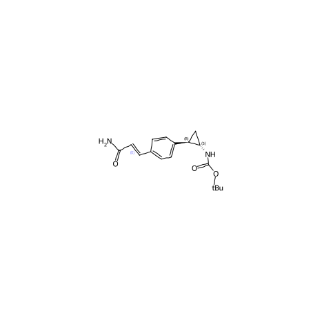 CC(C)(C)OC(=O)N[C@H]1C[C@@H]1c1ccc(/C=C/C(N)=O)cc1